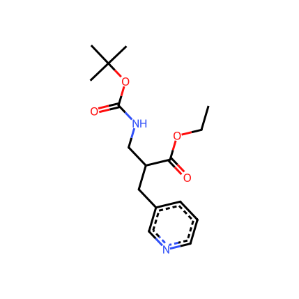 CCOC(=O)C(CNC(=O)OC(C)(C)C)Cc1cccnc1